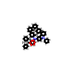 c1ccc(-n2c3ccccc3c3c4c(ccc32)N2c3ccccc3B(c3ccccc3[SiH](c3ccccc3)c3ccccc3)c3ccc5c(c32)B4c2ccccc2[Si]5(c2ccccc2)c2ccccc2)cc1